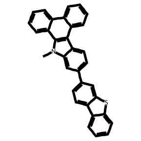 Cn1c2cc(-c3ccc4c(c3)sc3ccccc34)ccc2c2c3ccccc3c3ccccc3c21